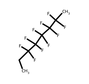 CCC(F)(F)C(F)(F)C(F)(F)C(F)(F)C(C)(F)F